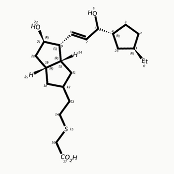 CC[C@@H]1CC[C@@H](C(O)C=C[C@@H]2[C@@H]3CC(CCSCC(=O)O)C[C@@H]3C[C@H]2O)C1